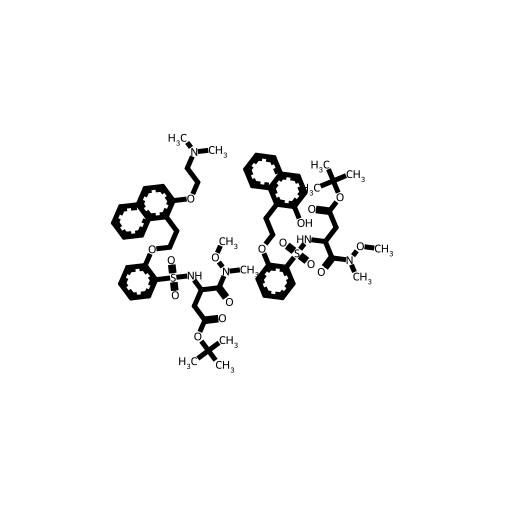 CON(C)C(=O)C(CC(=O)OC(C)(C)C)NS(=O)(=O)c1ccccc1OCCc1c(O)ccc2ccccc12.CON(C)C(=O)C(CC(=O)OC(C)(C)C)NS(=O)(=O)c1ccccc1OCCc1c(OCCN(C)C)ccc2ccccc12